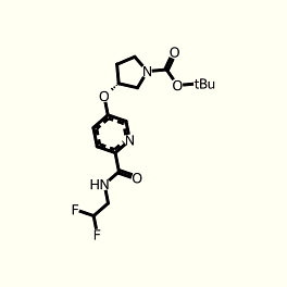 CC(C)(C)OC(=O)N1CC[C@@H](Oc2ccc(C(=O)NCC(F)F)nc2)C1